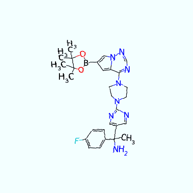 CC(N)(c1ccc(F)cc1)c1cnc(N2CCN(c3ncnn4cc(B5OC(C)(C)C(C)(C)O5)cc34)CC2)nc1